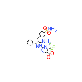 COC(=O)c1cnc(-n2nc(-c3ccccc3)c(Cc3ccc(S(N)(=O)=O)cc3)c2N)nc1C(F)(F)F